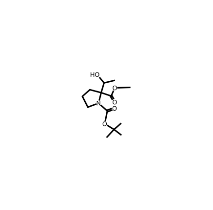 COC(=O)C1(C(C)O)CCCN1C(=O)OC(C)(C)C